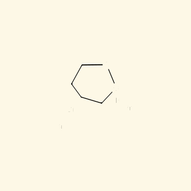 C1CCOOC1.[B+3].[Br-].[Br-].[Br-]